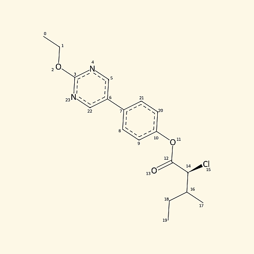 CCOc1ncc(-c2ccc(OC(=O)[C@@H](Cl)C(C)CC)cc2)cn1